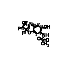 CS(=O)(=O)Nc1cc(OC(F)(F)C(F)C(F)(F)F)c(N)cc1O